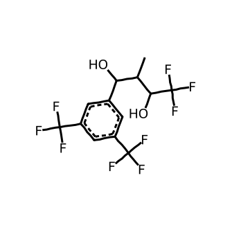 CC(C(O)c1cc(C(F)(F)F)cc(C(F)(F)F)c1)C(O)C(F)(F)F